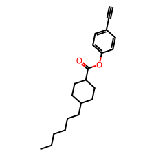 C#Cc1ccc(OC(=O)C2CCC(CCCCCC)CC2)cc1